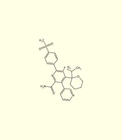 CC(C)C1(c2c(F)c(-c3ccc(S(C)(=O)=O)cc3)nc(C(N)=O)c2-c2cccnc2)CCCCO1